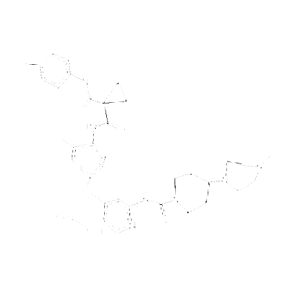 CN1CCN(C2CCN(C(=O)Nc3cc(Oc4ccc(NC(=O)C5(C(=O)Nc6ccc(F)cc6)CC5)c(F)c4)ccn3)CC2)CC1.O=S(=O)(O)O